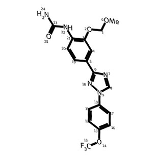 COCOc1cc(-c2ncn(-c3ccc(OC(F)(F)F)cc3)n2)ccc1NC(N)=O